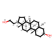 C[C@]12CC[C@H](O)C[C@@H]1CC[C@@H]1[C@@H]2CC[C@]2(C)[C@@H](CCO)CC[C@@H]12